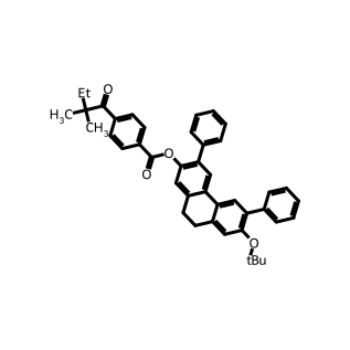 CCC(C)(C)C(=O)c1ccc(C(=O)Oc2cc3c(cc2-c2ccccc2)-c2cc(-c4ccccc4)c(OC(C)(C)C)cc2CC3)cc1